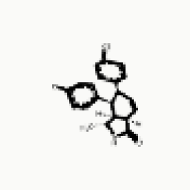 C[C@H]1NC(=O)[C@@H]2C=C[C@H](c3ccc(Cl)cc3)[C@H](c3ccc(Cl)cc3)[C@H]12